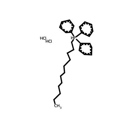 CCCCCCCCCCCC[PH](c1ccccc1)(c1ccccc1)c1ccccc1.Cl.Cl